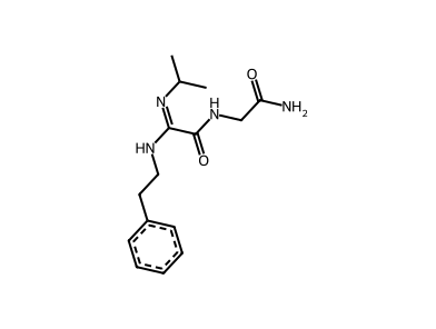 CC(C)/N=C(/NCCc1ccccc1)C(=O)NCC(N)=O